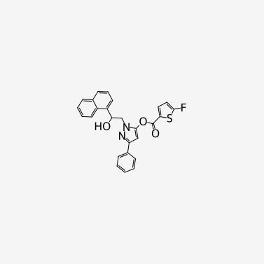 O=C(Oc1cc(-c2ccccc2)nn1CC(O)c1cccc2ccccc12)c1ccc(F)s1